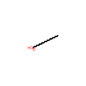 CCCCCC=CCCCCCC=CC=CCCCC(=O)O